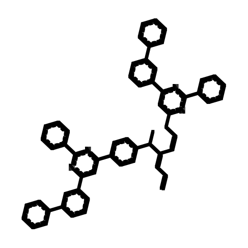 C=C/C=C(\C=C/Cc1cc(-c2cccc(-c3ccccc3)c2)nc(-c2ccccc2)n1)C(C)c1ccc(-c2cc(-c3cccc(-c4ccccc4)c3)nc(-c3ccccc3)n2)cc1